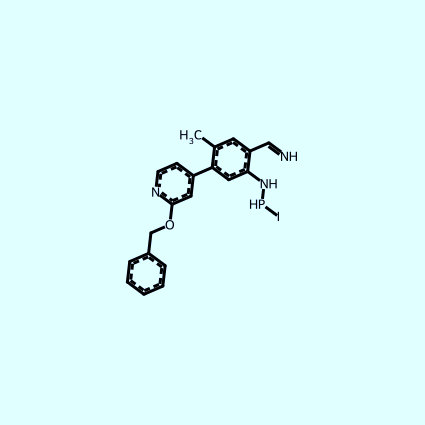 Cc1cc(C=N)c(NPI)cc1-c1ccnc(OCc2ccccc2)c1